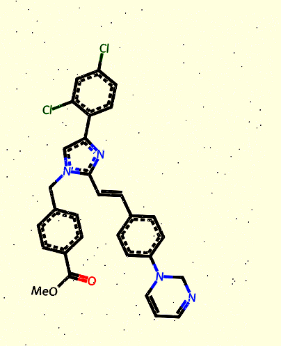 COC(=O)c1ccc(Cn2cc(-c3ccc(Cl)cc3Cl)nc2/C=C/c2ccc(N3C=CC=NC3)cc2)cc1